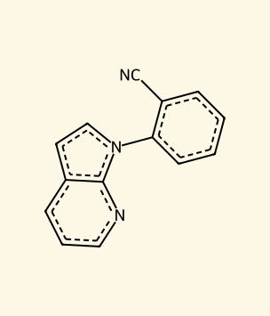 N#Cc1ccccc1-n1ccc2cccnc21